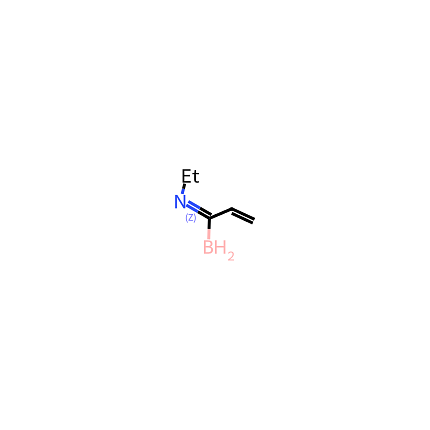 B/C(C=C)=N/CC